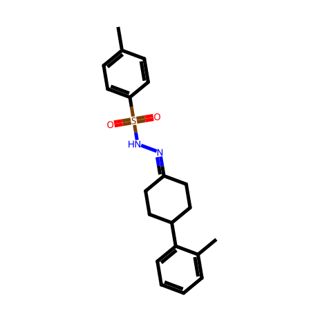 Cc1ccc(S(=O)(=O)NN=C2CCC(c3ccccc3C)CC2)cc1